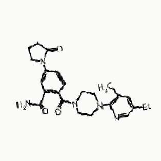 CCc1cnc(N2CCN(C(=O)c3ccc(N4CCCC4=O)cc3C(N)=O)CC2)c(C)c1